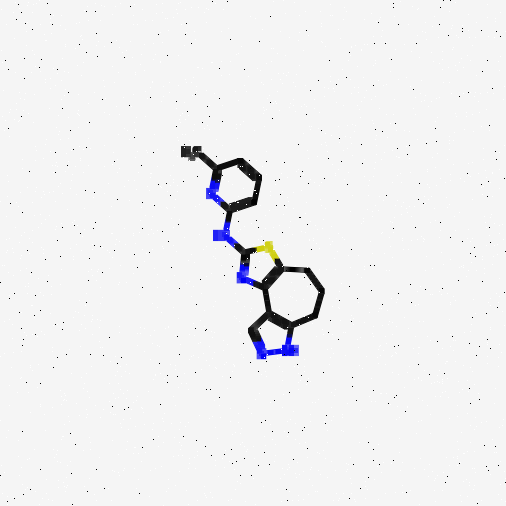 Cc1cccc(Nc2nc3c(s2)CCCc2[nH]ncc2-3)n1